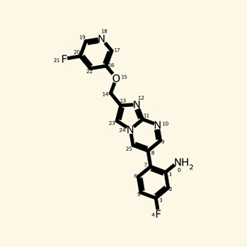 Nc1cc(F)ccc1-c1cnc2nc(COc3cncc(F)c3)cn2c1